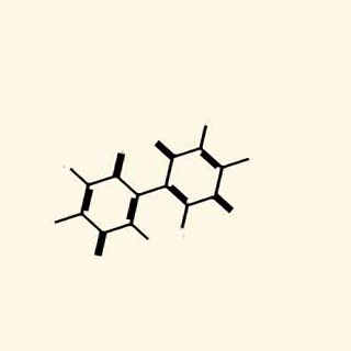 CC1=C(Br)C(=O)C(C2=C(Br)C(=O)C(C)=C(Br)C2=O)=C(Br)C1=O